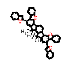 CC1(C)c2cc(-c3cc4ccccc4o3)c3c(oc4ccccc43)c2-c2ccc3c(c21)C(C)(C)c1cc(-c2cc4ccccc4o2)c2c(oc4ccccc42)c1-3